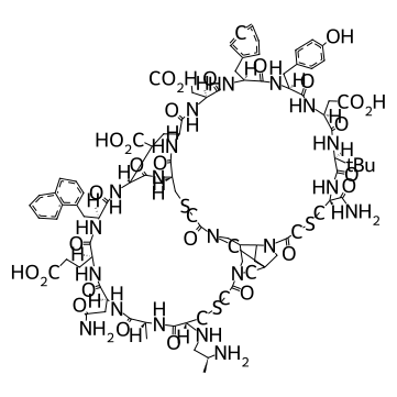 C[C@H](N)CN[C@H]1CSCC(=O)N2CC3CN4CC5(CC3N(C5)C(=O)CSC[C@@H](C(N)=O)NC(=O)[C@H](C(C)(C)C)NC(=O)[C@H](CC(=O)O)NC(=O)[C@H](Cc3ccc(O)cc3)NC(=O)[C@H](Cc3ccccc3)NC(=O)[C@H](CC(=O)O)NC(=O)[C@@H]3CC(C(=O)O)[C@@H](NC(=O)[C@H](Cc5cccc6ccccc56)NC(=O)[C@H](CCC(=O)O)NC(=O)[C@H](CC(N)=O)NC(=O)[C@@H](C)NC1=O)C(=O)N[C@@H](CSCC4=O)C(=O)N3)C2